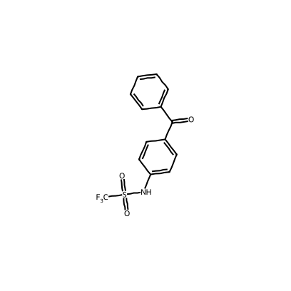 O=C(c1ccccc1)c1ccc(NS(=O)(=O)C(F)(F)F)cc1